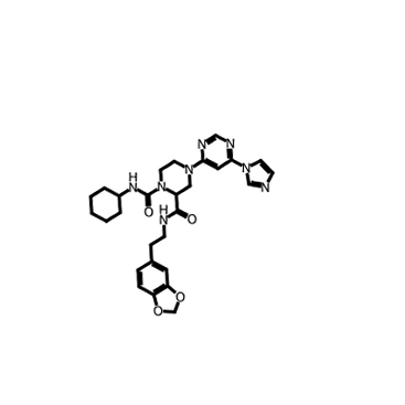 O=C(NCCc1ccc2c(c1)OCO2)C1CN(c2cc(-n3ccnc3)ncn2)CCN1C(=O)NC1CCCCC1